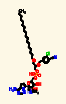 CCCCCCCCCCCCCCCCCCOC[C@H](COP(=O)(O)OC[C@H]1O[C@@](/C=N\C)(c2ccc3c(N)ncnn23)[C@H](O)[C@@H]1O)OCc1ccc(C#N)c(Cl)c1